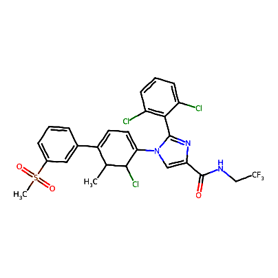 CC1C(c2cccc(S(C)(=O)=O)c2)=CC=C(n2cc(C(=O)NCC(F)(F)F)nc2-c2c(Cl)cccc2Cl)C1Cl